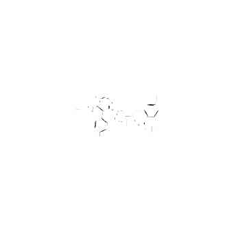 C=C(NCC1CCN(c2ncnc(N)c2-c2ccc(F)cc2)C1)c1ccc(F)cc1F